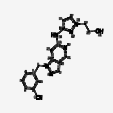 N#Cc1cccc(Cn2ncc3cnc(Nc4ccn(CCO)n4)cc32)c1